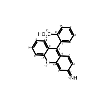 N=c1ccc2c(-c3ccccc3C(=O)O)c3ccccc3oc-2c1